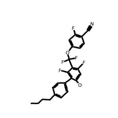 CCCCc1ccc(-c2c([O])cc(F)c(C(F)(F)Oc3ccc(C#N)c(F)c3)c2F)cc1